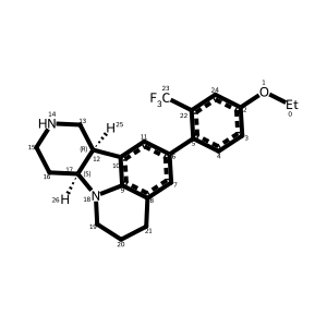 CCOc1ccc(-c2cc3c4c(c2)[C@@H]2CNCC[C@@H]2N4CCC3)c(C(F)(F)F)c1